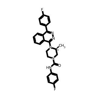 C[C@H]1CN(C(=O)Nc2ccc(F)cc2)CCN1c1nnc(-c2ccc(F)cc2)c2ccccc12